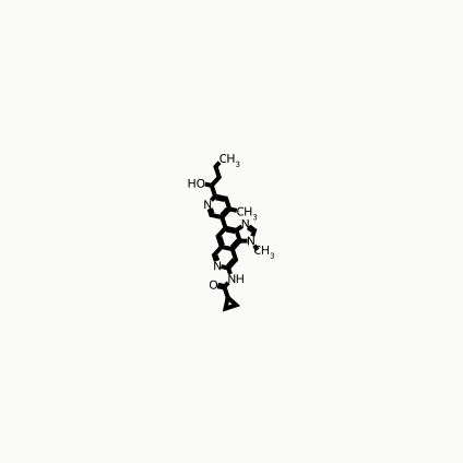 CCCC(O)c1cc(C)c(-c2cc3cnc(NC(=O)C4CC4)cc3c3c2ncn3C)cn1